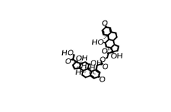 C[C@@]12C(=CC(=O)C=C1CC(=O)OCC(=O)[C@@]1(O)CCC3C4CCC5=CC(=O)C=C[C@]5(C)C4C(O)C[C@@]31C)CC[C@@H]1[C@@H]2C(O)C[C@@]2(C)[C@H]1CC[C@]2(O)C(=O)CO